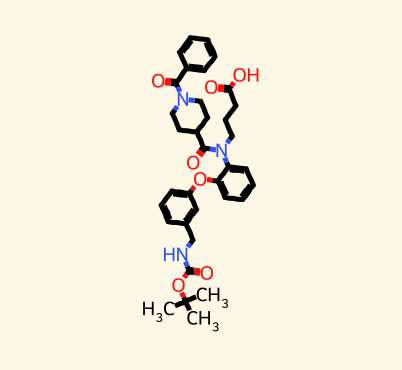 CC(C)(C)OC(=O)NCc1cccc(Oc2ccccc2N(CCCC(=O)O)C(=O)C2CCN(C(=O)c3ccccc3)CC2)c1